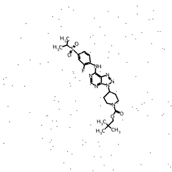 CC(C)S(=O)(=O)c1ccc(Nc2ncnc3c2nnn3C2CCN(C(=O)OCC(C)(C)C)CC2)c(F)c1